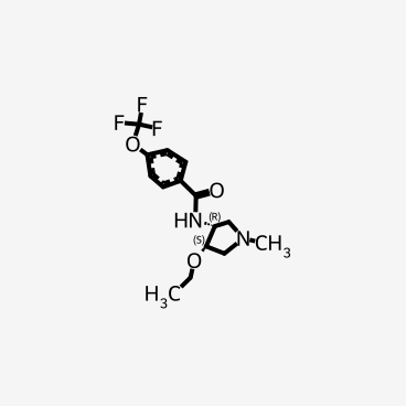 CCO[C@H]1CN(C)C[C@H]1NC(=O)c1ccc(OC(F)(F)F)cc1